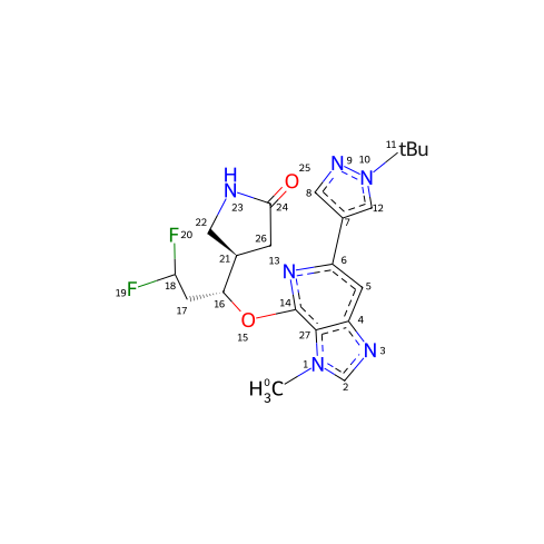 Cn1cnc2cc(-c3cnn(C(C)(C)C)c3)nc(O[C@H](CC(F)F)[C@H]3CNC(=O)C3)c21